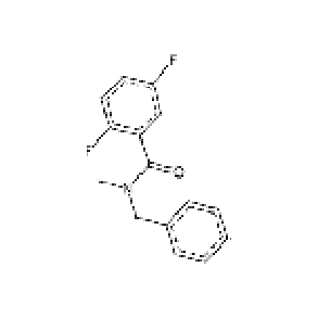 CN(Cc1cc[c]cc1)C(=O)c1cc(F)ccc1F